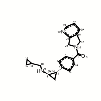 O=C(c1ccc([C@@H]2C[C@H]2NCC2CC2)cc1)N1Cc2cccnc2C1